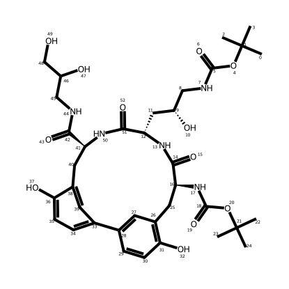 CC(C)(C)OC(=O)NC[C@H](O)C[C@@H]1NC(=O)[C@@H](NC(=O)OC(C)(C)C)Cc2cc(ccc2O)-c2ccc(O)c(c2)C[C@@H](C(=O)NCC(O)CO)NC1=O